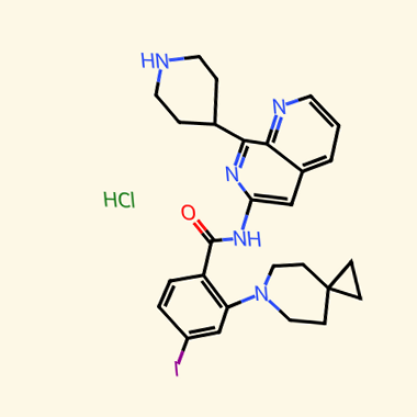 Cl.O=C(Nc1cc2cccnc2c(C2CCNCC2)n1)c1ccc(I)cc1N1CCC2(CC1)CC2